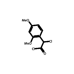 COc1ccc(C(Cl)C(=O)Cl)c(OC)c1